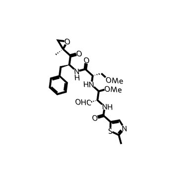 COC[C@H](NC(OC)[C@@H](C=O)NC(=O)c1cnc(C)s1)C(=O)N[C@@H](Cc1ccccc1)C(=O)[C@@]1(C)CO1